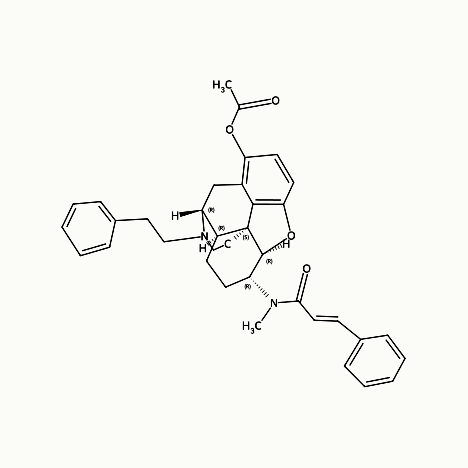 CC(=O)Oc1ccc2c3c1C[C@@H]1[C@@H]4CC[C@@H](N(C)C(=O)C=Cc5ccccc5)[C@H](O2)[C@]34CCN1CCc1ccccc1